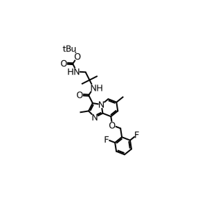 Cc1cc(OCc2c(F)cccc2F)c2nc(C)c(C(=O)NC(C)(C)CNC(=O)OC(C)(C)C)n2c1